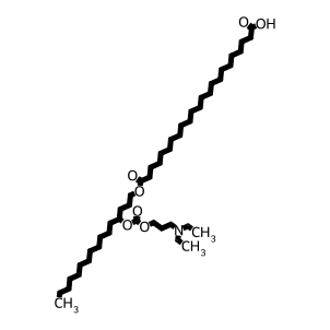 CCCCCCCCCCCCC(CCCOC(=O)CCCCCCCCCCCCCCCCCCCCCC(=O)O)OC(=O)OCCCN(CC)CC